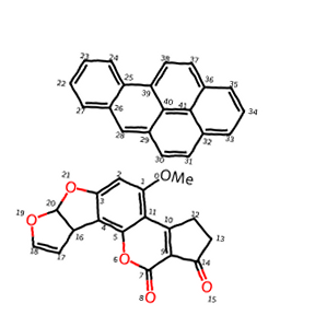 COc1cc2c(c3oc(=O)c4c(c13)CCC4=O)C1C=COC1O2.c1ccc2c(c1)cc1ccc3cccc4ccc2c1c34